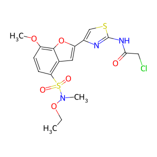 CCON(C)S(=O)(=O)c1ccc(OC)c2oc(-c3csc(NC(=O)CCl)n3)cc12